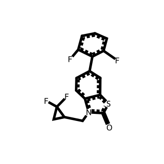 O=c1sc2cc(-c3c(F)cccc3F)ccc2n1CC1CC1(F)F